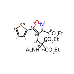 CCOC(=O)c1noc(-c2cccs2)c1CC(NC(C)=O)(C(=O)OCC)C(=O)OCC